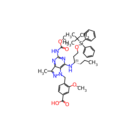 CCC[C@@H](CCO[Si](c1ccccc1)(c1ccccc1)C(C)(C)C)Nc1nc(NC(=O)OC)nc2c(C)nn(Cc3ccc(C(=O)O)cc3OC)c12